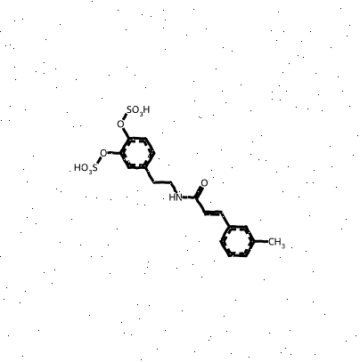 Cc1cccc(/C=C/C(=O)NCCc2ccc(OS(=O)(=O)O)c(OS(=O)(=O)O)c2)c1